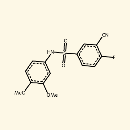 COc1ccc(NS(=O)(=O)c2ccc(F)c(C#N)c2)cc1OC